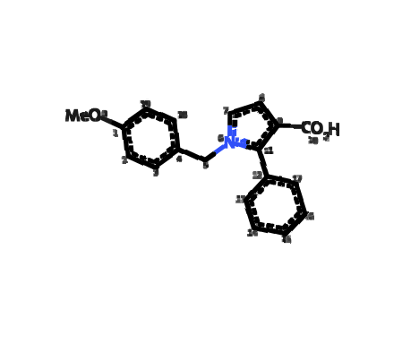 COc1ccc(Cn2ccc(C(=O)O)c2-c2ccccc2)cc1